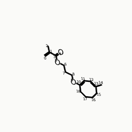 C=C(C)C(=O)OCCCO/C1=C/C=C(/C)CCCC1